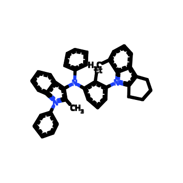 CCc1c(N(c2ccccc2)c2c(C)n(-c3ccccc3)c3ccccc23)cccc1-n1c2c(c3cccc(C)c31)CCCC2